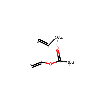 C=COC(=O)C(C)(C)C.C=COC(C)=O